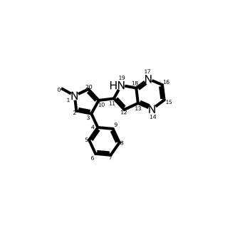 Cn1cc(-c2ccccc2)c(-c2cc3nccnc3[nH]2)c1